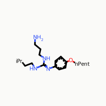 CCCCCOc1ccc(/N=C(\NCCCN)NCCC(C)C)cc1